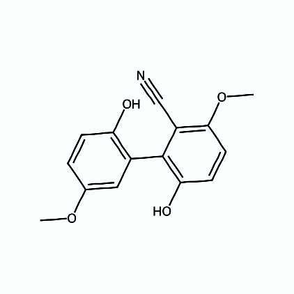 COc1ccc(O)c(-c2c(O)ccc(OC)c2C#N)c1